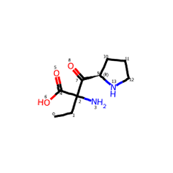 CCC(N)(C(=O)O)C(=O)[C@H]1CCCN1